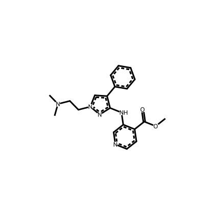 COC(=O)c1ccncc1Nc1nn(CCN(C)C)cc1-c1ccccc1